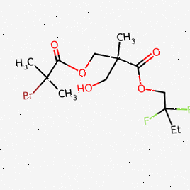 CCC(F)(F)COC(=O)C(C)(CO)COC(=O)C(C)(C)Br